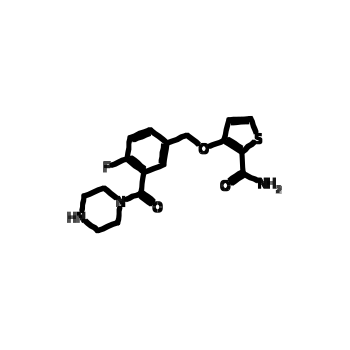 NC(=O)c1sccc1OCc1ccc(F)c(C(=O)N2CCNCC2)c1